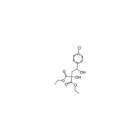 CCOC(=O)C(O)(CC(O)c1ccc(Cl)cc1)C(=O)OCC